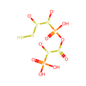 O=S(OP(=O)(O)[S+]([O-])[S+]([O-])SS)[S+]([O-])P(=O)(O)O